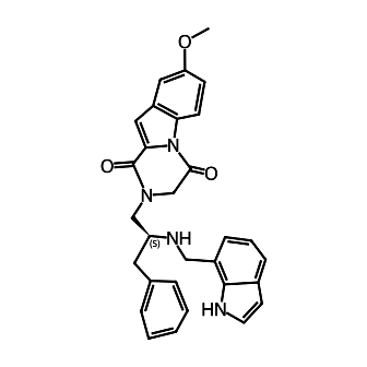 COc1ccc2c(c1)cc1n2C(=O)CN(C[C@H](Cc2ccccc2)NCc2cccc3cc[nH]c23)C1=O